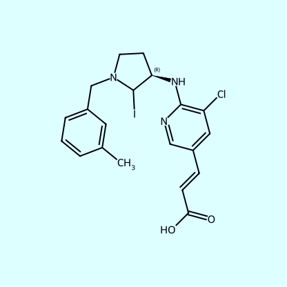 Cc1cccc(CN2CC[C@@H](Nc3ncc(C=CC(=O)O)cc3Cl)C2I)c1